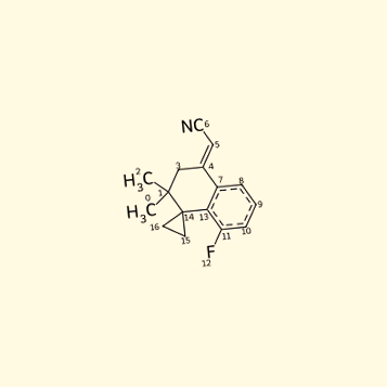 CC1(C)CC(=CC#N)c2cccc(F)c2C12CC2